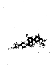 CCCc1nc(C2CCN(c3ncnc4c(-c5ccc(CN(C)C(=O)CO)c(F)c5)cc(F)cc34)CC2)no1